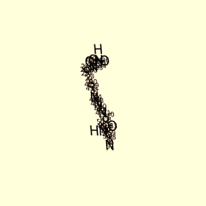 CCc1cc2c(cc1N1CCC(N3CCN(CCc4ccc(CCc5cccc6c5CN(C5CCC(=O)NC5=O)C6=O)cc4)CC3)CC1)C(C)(C)c1[nH]c3cc(C#N)ccc3c1C2=O